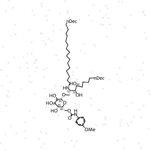 CCCCCCCCCCCCCCCCCCCCCCCCCCN[C@@H](CO[C@@H]1O[C@H](COC(=O)Nc2ccc(OC)cc2)[C@H](O)[C@H](O)[C@H]1O)[C@H](O)[C@H](O)CCCCCCCCCCCCCC